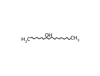 [CH2]CCCCCCC(O)CCCCCCCCCC